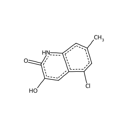 Cc1cc(Cl)c2cc(O)c(=O)[nH]c2c1